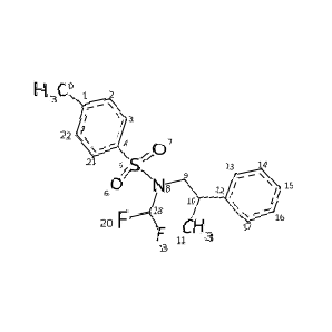 Cc1ccc(S(=O)(=O)N(CC(C)c2ccccc2)C(F)F)cc1